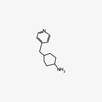 NC1CCC(Cc2ccncc2)CC1